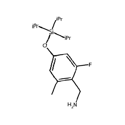 Cc1cc(O[Si](C(C)C)(C(C)C)C(C)C)cc(F)c1CN